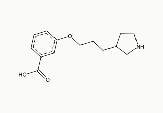 O=C(O)c1cccc(OCCCC2CCNC2)c1